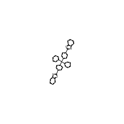 c1ccc(C(c2ccccc2)(c2ccc(-c3nc4ccccc4s3)cc2)c2ccc(-c3nc4ccccc4s3)cc2)cc1